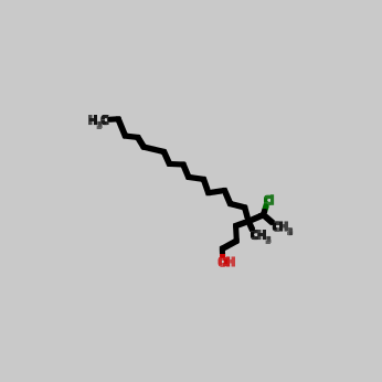 CCCCCCCCCCCCCCC(C)(CCCO)[C](C)Cl